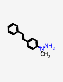 CN(N)c1ccc(/C=C/c2ccccc2)cc1